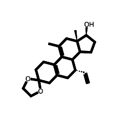 C=C[C@@H]1CC2=C(CCC3(C2)OCCO3)C2=C(C)C[C@@]3(C)C(CC[C@@H]3O)C21